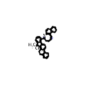 CC1(C)c2cccc(/C3=N/c4ccc5ccccc5c4/C=C\CC3)c2-c2ccc3c(c21)CCc1ccccc1-3